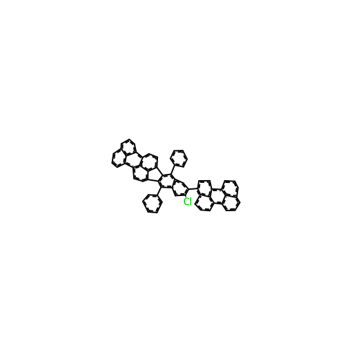 Clc1cc2c(-c3ccccc3)c3c(c(-c4ccccc4)c2cc1-c1ccc2c4cccc5cccc(c6cccc1c62)c54)-c1ccc2c4cccc5cccc(c6ccc-3c1c62)c54